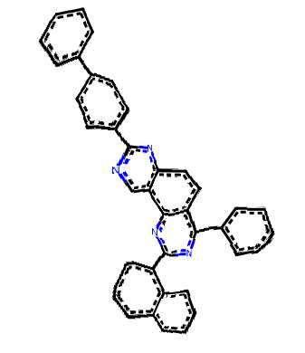 c1ccc(-c2ccc(-c3ncc4c(ccc5c(-c6ccccc6)nc(-c6cccc7ccccc67)nc54)n3)cc2)cc1